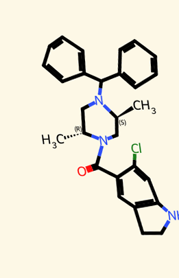 C[C@@H]1CN(C(c2ccccc2)c2ccccc2)[C@@H](C)CN1C(=O)c1cc2c(cc1Cl)NCC2